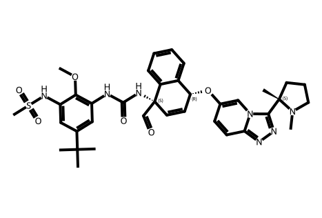 COc1c(NC(=O)N[C@@]2(C=O)C=C[C@@H](Oc3ccc4nnc([C@]5(C)CCCN5C)n4c3)c3ccccc32)cc(C(C)(C)C)cc1NS(C)(=O)=O